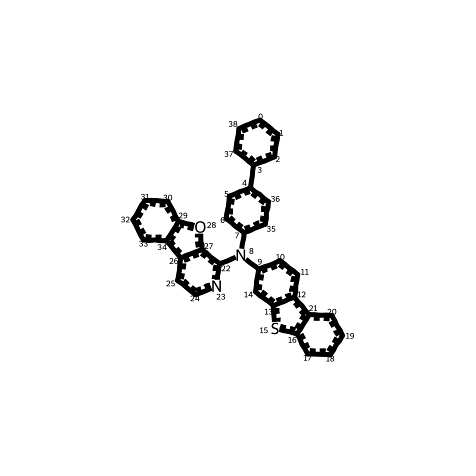 c1ccc(-c2ccc(N(c3ccc4c(c3)sc3ccccc34)c3nccc4c3oc3ccccc34)cc2)cc1